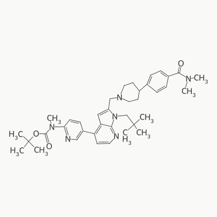 CN(C)C(=O)c1ccc(C2CCN(Cc3cc4c(-c5ccc(N(C)C(=O)OC(C)(C)C)nc5)ccnc4n3CC(C)(C)C)CC2)cc1